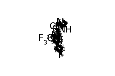 O=C(Nc1cccnc1Cl)c1cc2nc(-c3ccc(F)cc3)cc(C(F)(F)F)n2n1